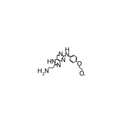 COCCOc1ccc(Nc2ncc3[nH]c(CCN)nc3n2)cc1